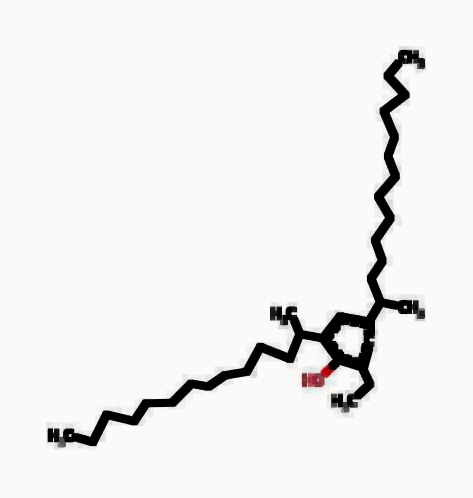 CCCCCCCCCCCCC(C)c1cc(CC)c(O)c(C(C)CCCCCCCCCCCC)c1